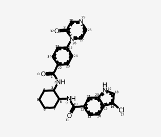 O=C(NC1CCCCC1NC(=O)c1ccc2c(Cl)c[nH]c2c1)c1ccc(-n2ccncc2=O)cc1